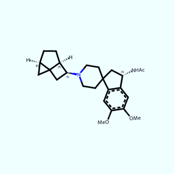 COc1cc2c(cc1OC)C1(CCN([C@H]3CC45C[C@H]4CC[C@@H]35)CC1)C[C@@H]2NC(C)=O